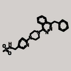 CS(=O)(=O)NCc1ccc(N2CCN(c3nnc(Cc4ccccc4)c4ccccc34)CC2)nc1